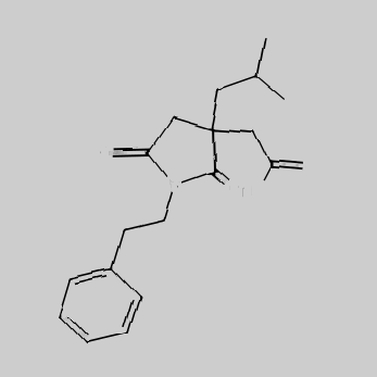 CC(C)CC1(CC(=O)O)CC(=O)N(CCc2ccccc2)C1=O